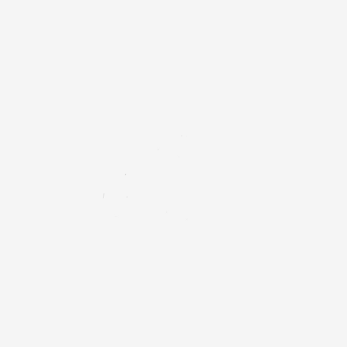 O=S1(=O)CS(=O)(=O)OCC(F)(F)C(F)(F)CO1